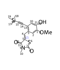 COc1cc(/C=C2\SC(=O)N(C)C2=O)c(C#C[Si](C)(C)C)cc1O